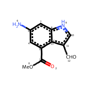 COC(=O)c1cc(N)cc2[nH]cc(C=O)c12